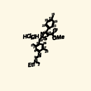 CCN(C)C=Nc1cc(C)c(Cc2nc(-c3ccc(C)cc3)c(C(=O)OC)s2)cc1C.Cl.Cl